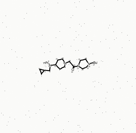 CCCN(CC1CC1)C1CCN(CC(=O)N2CCN(C(C)CC)CC2)CC1